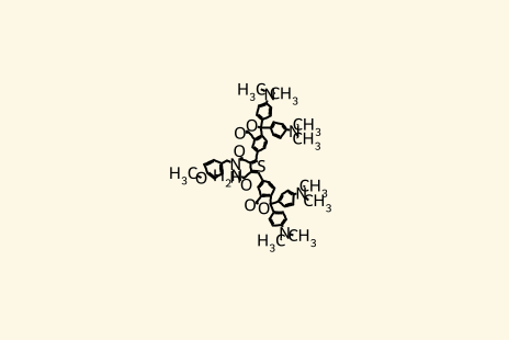 COc1ccc(CNC(=O)c2c(-c3ccc4c(c3)C(=O)OC4(c3ccc(N(C)C)cc3)c3ccc(N(C)C)cc3)sc(-c3ccc4c(c3)C(=O)OC4(c3ccc(N(C)C)cc3)c3ccc(N(C)C)cc3)c2C(N)=O)cc1